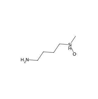 C[SiH]([O])CCCCN